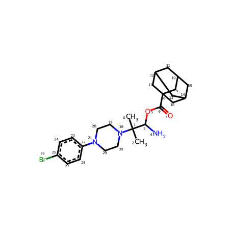 CC(C)(C(N)OC(=O)C12CC3CC(CC(C3)C1)C2)N1CCN(c2ccc(Br)cc2)CC1